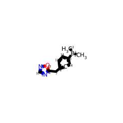 CB(C)c1ccc(Cc2ncno2)cc1